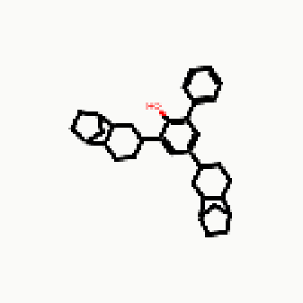 Oc1c(-c2ccccc2)cc(C2CCC3C4CCC(C4)C3C2)cc1C1CCC2C3CCC(C3)C2C1